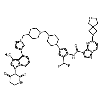 Cc1nn(C2C(=O)CCNC2=O)c2cccc(-c3cnn(CC4CCN(CC5CCC(n6cc(NC(=O)c7cnn8ccc(N9CC%10(CCOC%10)C9)nc78)c(C(F)F)n6)CC5)CC4)c3)c12